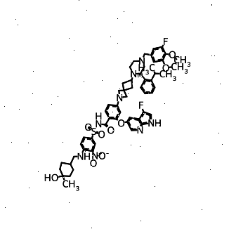 COc1cc(CN2CCN(C3CC4(C3)CN(c3ccc(C(=O)NS(=O)(=O)c5ccc(NCC6CCC(C)(O)CC6)c([N+](=O)[O-])c5)c(Oc5cnc6[nH]cc(F)c6c5)c3)C4)[C@H](c3ccccc3C(C)C)C2)cc(F)c1OC